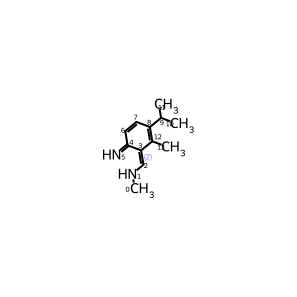 CN/C=C1\C(=N)C=CC(C(C)C)=C1C